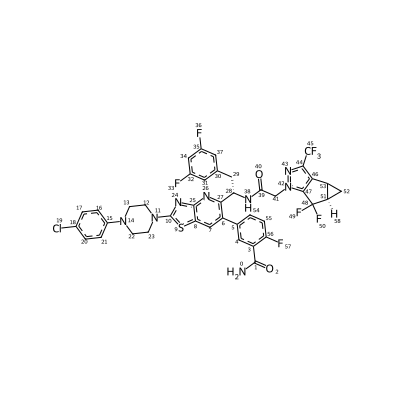 NC(=O)c1cc(-c2cc3sc(N4CCN(c5ccc(Cl)cc5)CC4)nc3nc2[C@H](Cc2cc(F)cc(F)c2)NC(=O)Cn2nc(C(F)(F)F)c3c2C(F)(F)[C@@H]2CC32)ccc1F